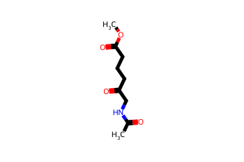 COC(=O)CCCC(=O)CNC(C)=O